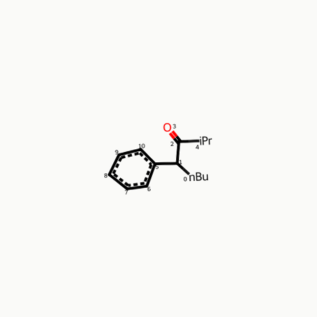 CCCCC(C(=O)C(C)C)c1ccccc1